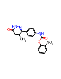 CC1CC(=O)NN=C1c1ccc(NC(=O)Oc2ccccc2[N+](=O)[O-])cc1